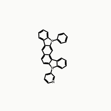 c1ccc(-n2c3ccccc3c3cc4ccc5c(c4cc32)c2ccccc2n5-c2cccnc2)cc1